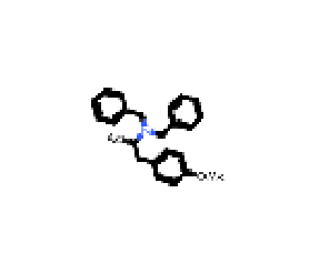 COc1ccc(CC(C(C)=O)N(Cc2ccccc2)Cc2ccccc2)cc1